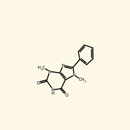 Cn1c(-c2ccccc2)nc2c1c(=O)[nH]c(=O)n2C